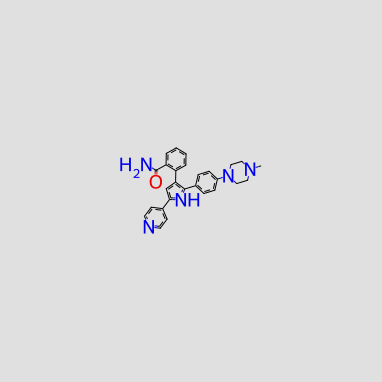 CN1CCN(c2ccc(-c3[nH]c(-c4ccncc4)cc3-c3ccccc3C(N)=O)cc2)CC1